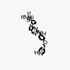 CC(C)(C)NS(=O)(=O)c1cccc(N2CCc3cnc(Nc4ccc(OCCN5CCNCC5)cc4)nc32)c1